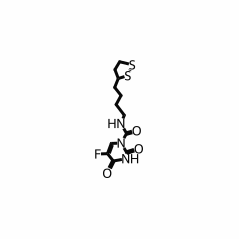 O=C(NCCCCC1CCSS1)n1cc(F)c(=O)[nH]c1=O